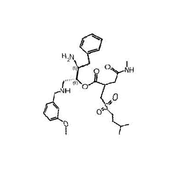 CNC(=O)CC(CS(=O)(=O)CCC(C)C)C(=O)O[C@H](CNCc1cccc(OC)c1)[C@@H](N)Cc1ccccc1